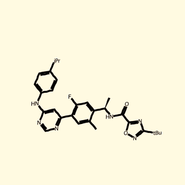 Cc1cc(-c2cc(Nc3ccc(C(C)C)cc3)ncn2)c(F)cc1[C@@H](C)NC(=O)c1nc(C(C)(C)C)no1